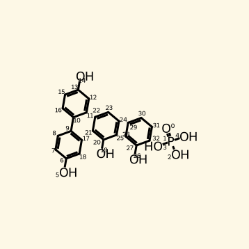 O=P(O)(O)O.Oc1ccc(-c2ccc(O)cc2)cc1.Oc1ccccc1.Oc1ccccc1